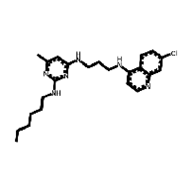 CCCCCCNc1nc(C)cc(NCCCNc2ccnc3cc(Cl)ccc23)n1